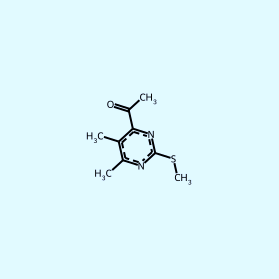 CSc1nc(C)c(C)c(C(C)=O)n1